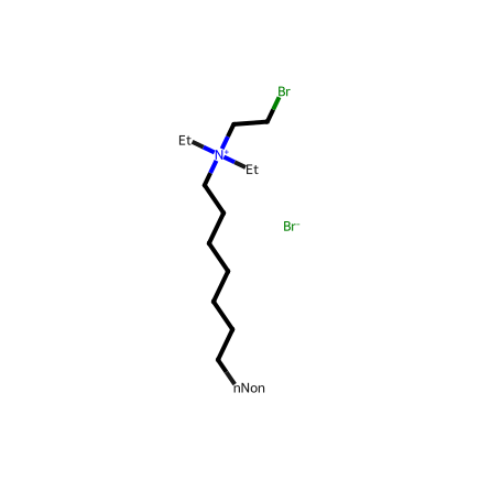 CCCCCCCCCCCCCCCC[N+](CC)(CC)CCBr.[Br-]